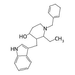 CCC1C(Cc2c[nH]c3ccccc23)C(O)CCN1CC1=CCCC=C1